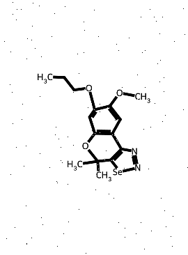 CCCOc1cc2c(cc1OC)-c1nn[se]c1C(C)(C)O2